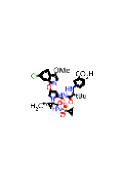 C=C[C@@H]1C[C@@]1(C(=O)NS(=O)(=O)C1CC1)N1C[C@H](Oc2ncc(OC)c3ccc(Cl)cc23)C[C@H]1C(=O)NC(=O)[C@H](Nc1cccc(C(=O)O)c1)C(C)(C)C